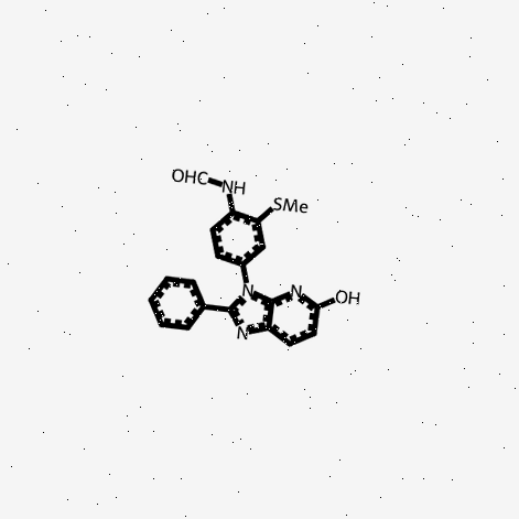 CSc1cc(-n2c(-c3ccccc3)nc3ccc(O)nc32)ccc1NC=O